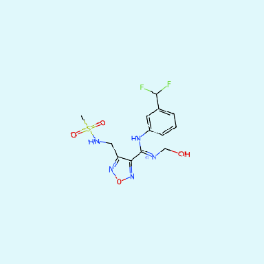 CS(=O)(=O)NCc1nonc1/C(=N/CO)Nc1cccc(C(F)F)c1